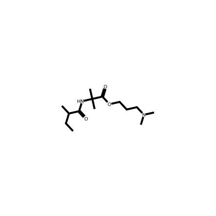 CCC(C)C(=O)NC(C)(C)C(=O)OCCCN(C)C